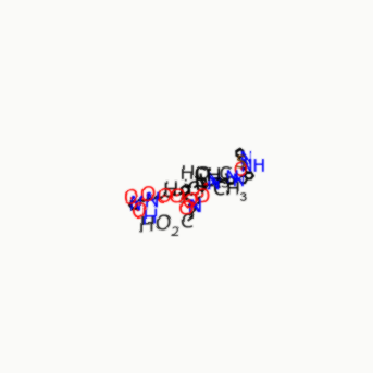 Cc1c(-c2ccc(N3CCc4cccc(C(=O)Nc5nc6ccccc6s5)c4C3)nc2C(=O)O)cnn1CC12CC3(C)CC(C)(C1)CC(OCCN(CCCC(=O)O)C(=O)OCc1cc[c]cc1OCCOCCNC(=O)CCN1C(=O)C=CC1=O)(C3)C2